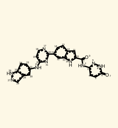 O=C(Nc1ccc(=O)[nH]n1)c1cc2ccc(-c3nccc(Nc4ccc5[nH]ncc5c4)n3)cc2[nH]1